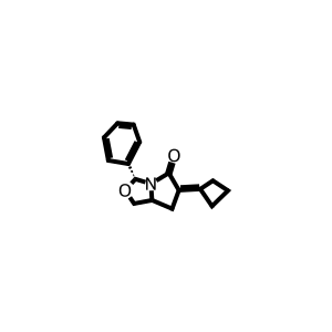 O=C1C(=C2CCC2)CC2CO[C@H](c3ccccc3)N12